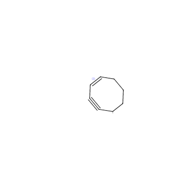 C1#C/C=C\CCC[CH]1